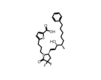 C[C@H](CCCCCc1ccccc1)[C@H](O)C=C[C@H]1CC(F)(F)C(=O)N1CCCc1ccc(C(=O)O)s1